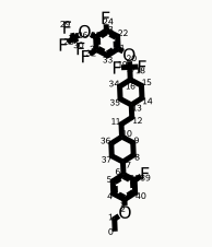 CCOc1ccc(C2CCC(CCC3CCC(C(F)(F)Oc4cc(F)c(OC(F)(F)F)c(F)c4)CC3)CC2)c(F)c1